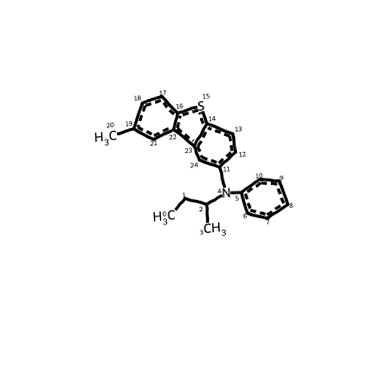 CCC(C)N(c1ccccc1)c1ccc2sc3ccc(C)cc3c2c1